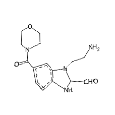 NCCN1c2cc(C(=O)N3CCOCC3)ccc2NC1C=O